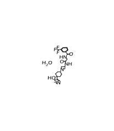 O.O=C(CNC(=O)c1cccc(C(F)(F)F)c1)NC1CN(C2CCC(O)(c3cncs3)CC2)C1